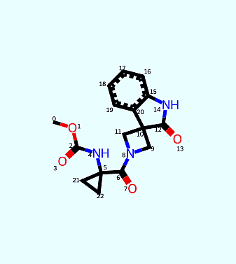 COC(=O)NC1(C(=O)N2CC3(C2)C(=O)Nc2ccccc23)CC1